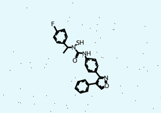 CC(c1ccc(F)cc1)N(S)C(=O)Nc1ccc(-c2nocc2-c2ccccc2)cc1